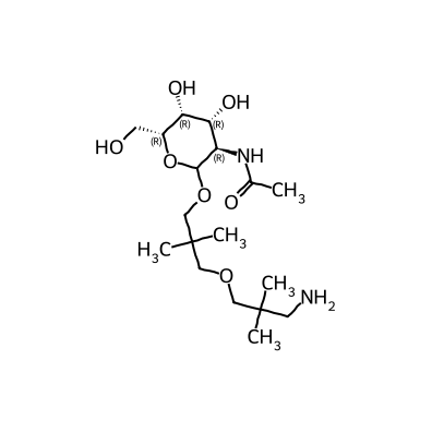 CC(=O)N[C@H]1C(OCC(C)(C)COCC(C)(C)CN)O[C@H](CO)[C@H](O)[C@@H]1O